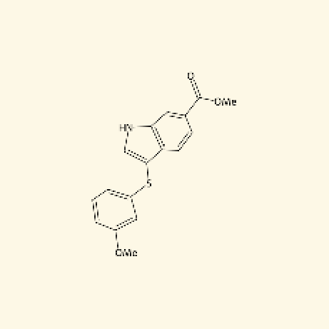 COC(=O)c1ccc2c(Sc3cccc(OC)c3)c[nH]c2c1